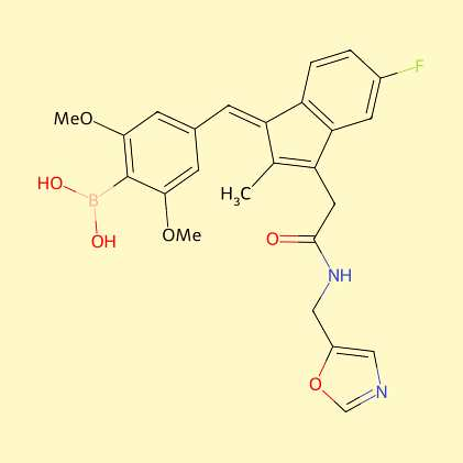 COc1cc(C=C2C(C)=C(CC(=O)NCc3cnco3)c3cc(F)ccc32)cc(OC)c1B(O)O